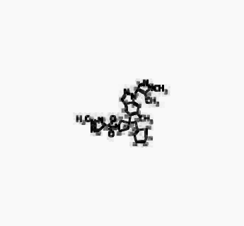 Cc1cc2c(cnn2-c2cnn(C)c2C)cc1C1(Cc2ccccc2)CCN(S(=O)(=O)c2cnn(C)n2)C1